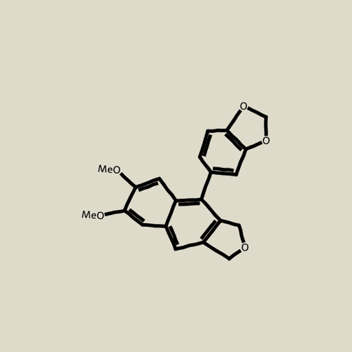 COc1cc2cc3c(c(-c4ccc5c(c4)OCO5)c2cc1OC)COC3